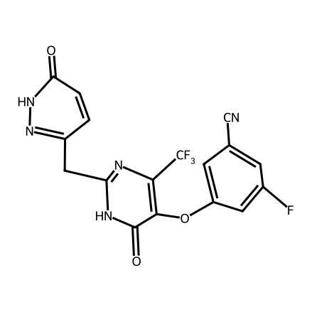 N#Cc1cc(F)cc(Oc2c(C(F)(F)F)nc(Cc3ccc(=O)[nH]n3)[nH]c2=O)c1